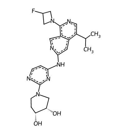 CC(C)c1cnc(N2CC(F)C2)c2cnc(Nc3ccnc(N4CC[C@@H](O)[C@@H](O)C4)n3)cc12